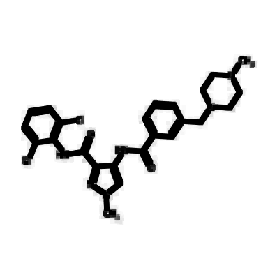 CN1CCN(Cc2cccc(C(=O)Nc3cn(C)nc3C(=O)Nc3c(Cl)cccc3Cl)c2)CC1